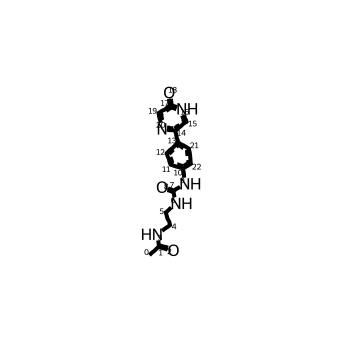 CC(=O)NCCNC(=O)Nc1ccc(-c2c[nH]c(=O)cn2)cc1